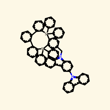 c1ccc([Si]2(c3ccccc3)c3ccccc3-c3ccccc3-c3ccccc3[Si](c3ccccc3)(c3ccccc3)c3cc(Cn4c5ccccc5c5cc(-n6c7ccccc7c7ccccc76)ccc54)ccc32)cc1